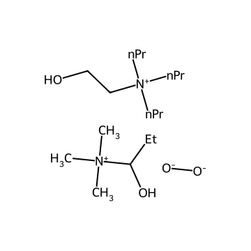 CCC(O)[N+](C)(C)C.CCC[N+](CCC)(CCC)CCO.[O-][O-]